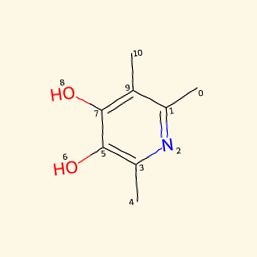 Cc1nc(C)c(O)c(O)c1C